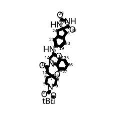 CC(C)(C)OC(=O)N1CCC2(CC1)CC(=O)N(CC(=O)Nc1ccc3c(c1)CC1(C3)NC(=O)NC1=O)c1ccccc1O2